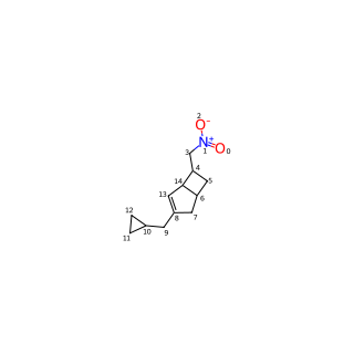 O=[N+]([O-])CC1CC2CC(CC3CC3)=CC21